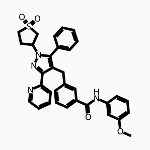 COc1cccc(NC(=O)c2cccc(Cc3c(-c4ccccn4)nn(C4CCS(=O)(=O)C4)c3-c3ccccc3)c2)c1